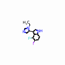 CCn1cncc1-c1c[nH]c2ccc(I)c(F)c12